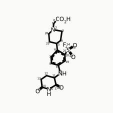 O=C(O)CN1CCC(c2ccc(NC3CCC(=O)NC3=O)cc2S(=O)(=O)F)CC1